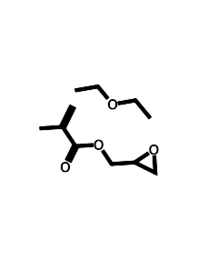 C=C(C)C(=O)OCC1CO1.CCOCC